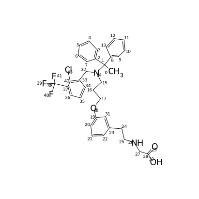 CC(c1ccccc1)(c1ccccc1)N(CCCOc1cccc(CCNCC(=O)O)c1)Cc1cccc(C(F)(F)F)c1Cl